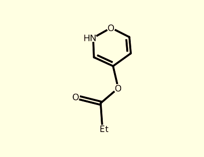 CCC(=O)OC1=CNOC=C1